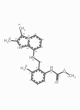 COC(=O)Nc1cccc(C)c1CNc1cccn2c(C)c(C)nc12